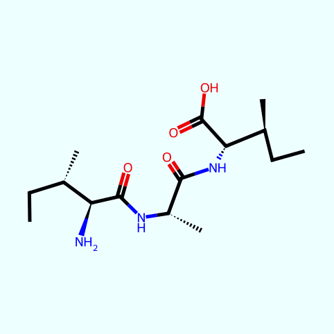 CC[C@H](C)[C@H](N)C(=O)N[C@@H](C)C(=O)N[C@H](C(=O)O)[C@@H](C)CC